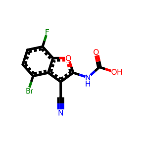 N#Cc1c(NC(=O)O)oc2c(F)ccc(Br)c12